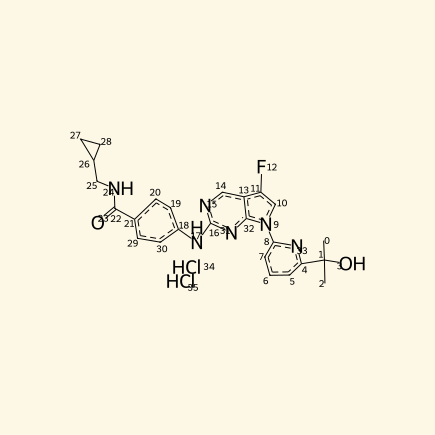 CC(C)(O)c1cccc(-n2cc(F)c3cnc(Nc4ccc(C(=O)NCC5CC5)cc4)nc32)n1.Cl.Cl